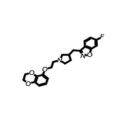 Fc1ccc2c(CC3CCN(CCOc4cccc5c4OCCO5)C3)noc2c1